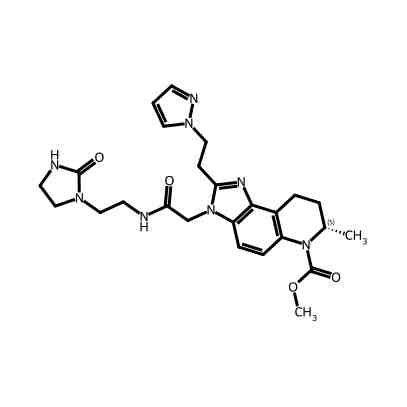 COC(=O)N1c2ccc3c(nc(CCn4cccn4)n3CC(=O)NCCN3CCNC3=O)c2CC[C@@H]1C